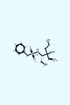 C=CC(O)(CCC(C)C)[C@H](CC(C)C)NS(=O)(=O)Cc1ccccc1